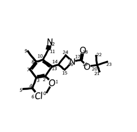 COc1c(C(C)Cl)cc(C)c(C#N)c1C1CN(C(=O)OC(C)(C)C)C1